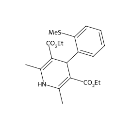 CCOC(=O)C1=C(C)NC(C)=C(C(=O)OCC)C1c1ccccc1SC